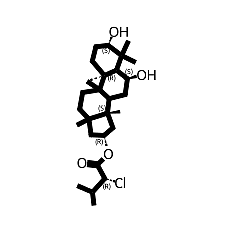 CC(C)[C@@H](Cl)C(=O)O[C@@H]1CC2(C)CCC34C[C@@]35CC[C@H](O)C(C)(C)C5[C@@H](O)CC4[C@]2(C)C1